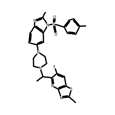 Cc1ccc(S(=O)(=O)n2c(C)nc3ccc(N4CCN(C(C)c5nc6nc(C)sc6cc5F)CC4)cc32)cc1